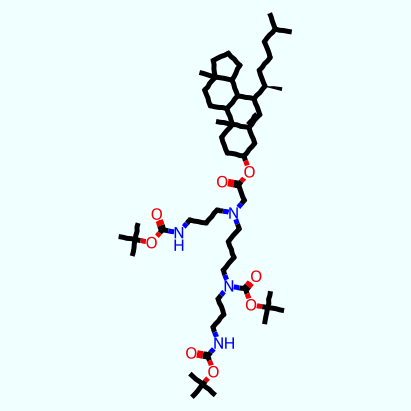 CC(C)CCC[C@@H](C)C1C=C2CC(OC(=O)CN(CCCCN(CCCNC(=O)OC(C)(C)C)C(=O)OC(C)(C)C)CCCNC(=O)OC(C)(C)C)CCC2(C)C2CCC3(C)CCCC3C12